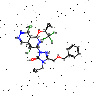 CCn1c(COCc2ccccc2)nn(-c2nc(O[C@@H](C)C(F)(F)F)c3c(Cl)nncc3c2F)c1=O